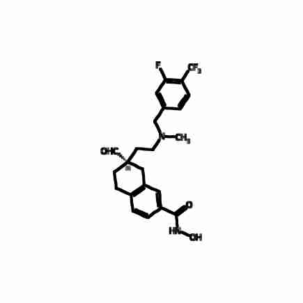 CN(CC[C@]1(C=O)CCc2ccc(C(=O)NO)cc2C1)Cc1ccc(C(F)(F)F)c(F)c1